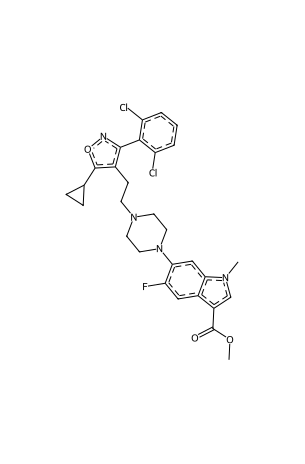 COC(=O)c1cn(C)c2cc(N3CCN(CCc4c(-c5c(Cl)cccc5Cl)noc4C4CC4)CC3)c(F)cc12